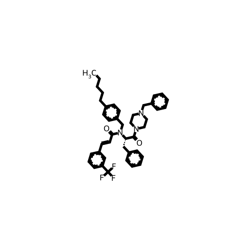 CCCCCc1ccc(CN(C(=O)/C=C/c2cccc(C(F)(F)F)c2)[C@@H](Cc2ccccc2)C(=O)N2CCN(Cc3ccccc3)CC2)cc1